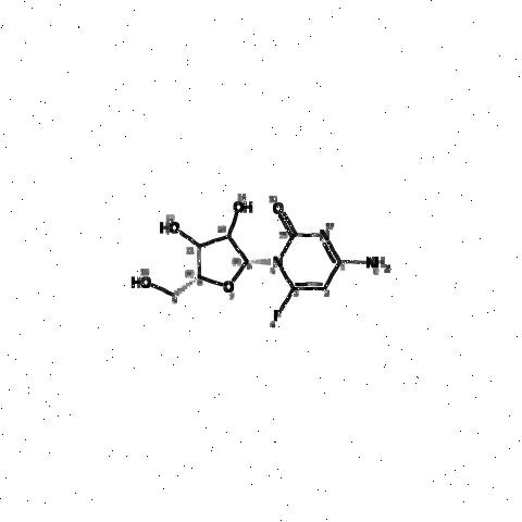 Nc1cc(F)n([C@@H]2O[C@H](CO)C(O)C2O)c(=O)n1